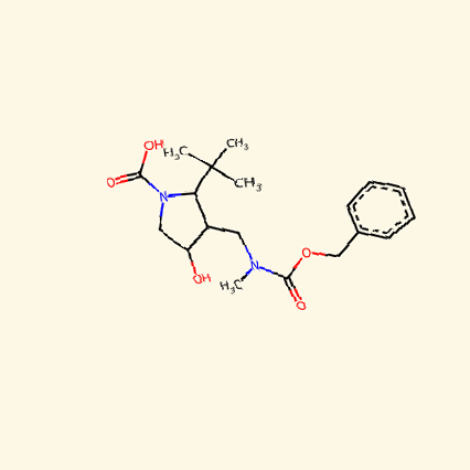 CN(CC1C(O)CN(C(=O)O)C1C(C)(C)C)C(=O)OCc1ccccc1